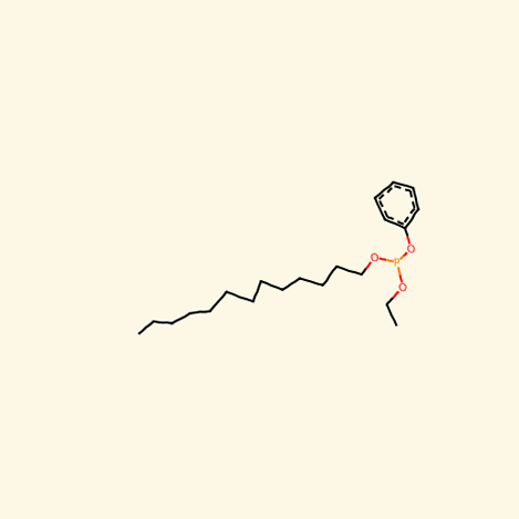 CCCCCCCCCCCCCOP(OCC)Oc1ccccc1